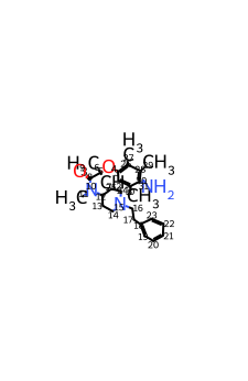 Cc1cc(OC(C)(C)C(=O)N(C)C2CCN(CCc3ccccc3)CC2)c(C)c(C)c1N